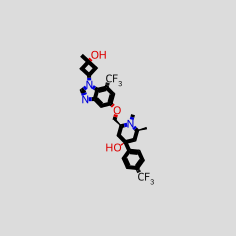 C[C@H]1C[C@@](O)(c2ccc(C(F)(F)F)cc2)C[C@@H](COc2cc(C(F)(F)F)c3c(c2)ncn3C2CC(C)(O)C2)N1C